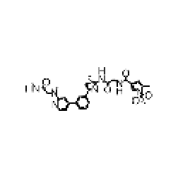 CNC(=O)CN(C)c1cc(-c2cccc(-c3csc(NC(=O)CNC(=O)c4cc(C)n(S(C)(=O)=O)c4)n3)c2)ccn1